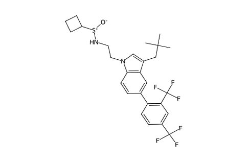 CC(C)(C)Cc1cn(CCN[S+]([O-])C2CCC2)c2ccc(-c3ccc(C(F)(F)F)cc3C(F)(F)F)cc12